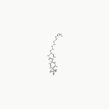 CCCCCCCCC1C=CC(c2ccc(C(F)(F)F)cc2)=CC1